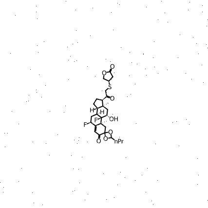 CCCC1OC2(C[C@@]3(C)C(=CC2=O)[C@@H](F)C[C@H]2[C@@H]4CC[C@@H](C(=O)CS[C@H]5COC(=O)C5)[C@@]4(C)C[C@H](O)[C@@]23F)O1